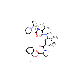 C/C(=C\[C@H](C(C)C)N(C)C(=O)[C@@H](NC(=O)[C@H]1CCCCN1C(C)C)C(C)C)C(=O)N1CCC[C@H]1C(=O)O[C@H](C)c1ccccc1